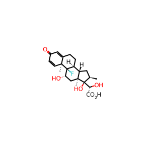 C[C@@H]1C[C@H]2[C@@H]3CCC4=CC(=O)C=C[C@]4(C)[C@@]3(F)[C@@H](O)C[C@]2(C)[C@@]1(O)[C@H](O)C(=O)O